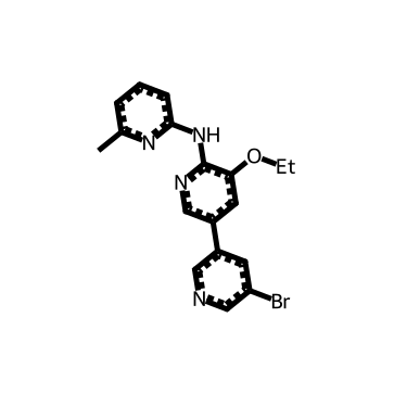 CCOc1cc(-c2cncc(Br)c2)cnc1Nc1cccc(C)n1